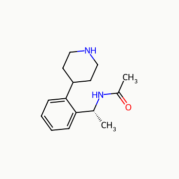 CC(=O)N[C@H](C)c1ccccc1C1CCNCC1